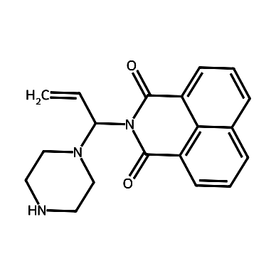 C=CC(N1CCNCC1)N1C(=O)c2cccc3cccc(c23)C1=O